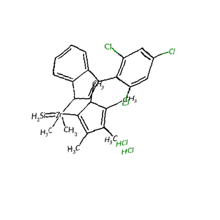 CC1=C(C)C(C)[C]([Zr]([CH3])([CH3])(=[SiH2])[CH]2C=C(c3c(Cl)cc(Cl)cc3Cl)c3ccccc32)=C1C.Cl.Cl